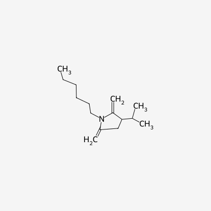 C=C1CC(C(C)C)C(=C)N1CCCCCC